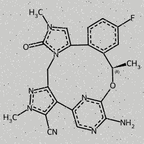 C[C@H]1Oc2nc(cnc2N)-c2c(nn(C)c2C#N)Cn2c(cn(C)c2=O)-c2ccc(F)cc21